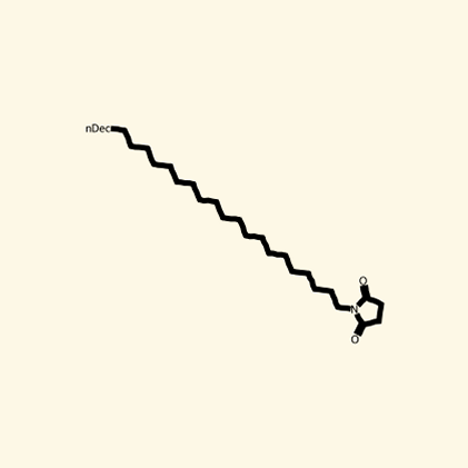 CCCCCCCCCCCCCCCCCCCCCCCCCCCCCCN1C(=O)CCC1=O